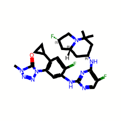 Cn1nnn(-c2cc(Nc3ncc(F)c(N[C@@H]4C[C@@H]5C[C@H](F)CN5C(C)(C)C4)n3)c(F)cc2C2CC2)c1=O